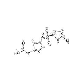 O=C(O)Cc1csc(NS(=O)(=O)c2ccc(Cl)s2)n1